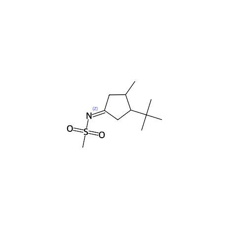 CC1C/C(=N/S(C)(=O)=O)CC1C(C)(C)C